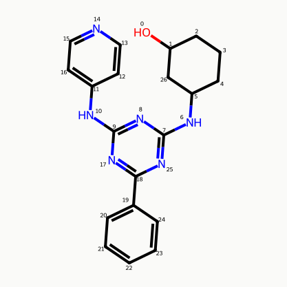 OC1CCCC(Nc2nc(Nc3ccncc3)nc(-c3ccccc3)n2)C1